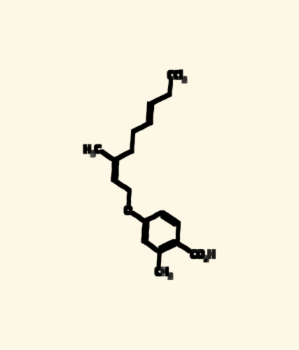 CC(=CCOc1ccc(C(=O)O)c(C)c1)CCC=CCC(Cl)(Cl)Cl